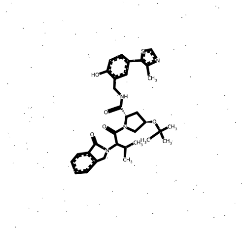 Cc1ncsc1-c1ccc(O)c(CNC(=O)[C@@H]2C[C@@H](OC(C)(C)C)CN2C(=O)C(C(C)C)N2Cc3ccccc3C2=O)c1